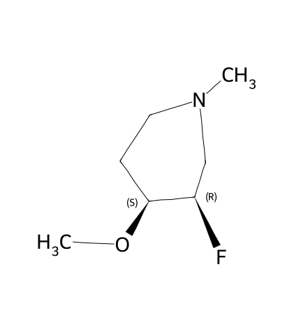 CO[C@H]1CCN(C)C[C@H]1F